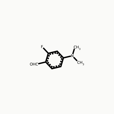 CN(C)c1ccc(C=O)c(F)c1